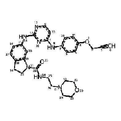 C#CCOc1ccc(Nc2ccnc(Nc3ccc4c(c3)N(C(=O)NCCN3CCOCC3)CC4)n2)cc1